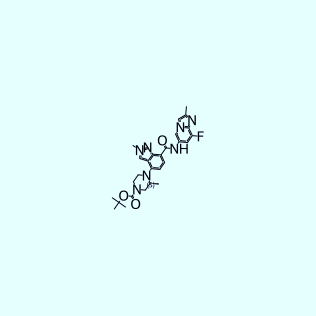 Cc1cn2cc(NC(=O)c3ccc(N4CCN(C(=O)OC(C)(C)C)C[C@@H]4C)c4cn(C)nc34)cc(F)c2n1